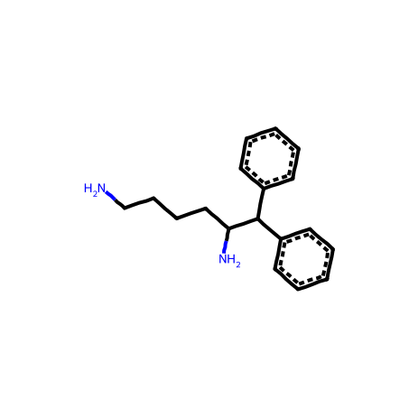 NCCCCC(N)C(c1ccccc1)c1ccccc1